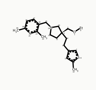 CCOC[C@@]1(CCc2csc(C)c2)CCN(Cc2ccc(C)nc2C)C1